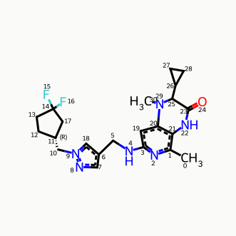 Cc1nc(NCc2cnn(C[C@@H]3CCC(F)(F)C3)c2)cc2c1NC(=O)C(C1CC1)N2C